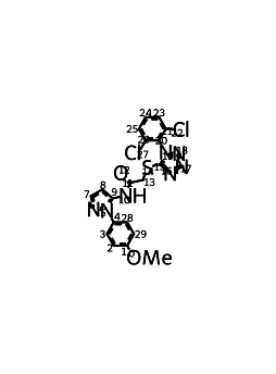 COc1ccc(-n2nccc2NC(=O)CSc2nnnn2-c2c(Cl)cccc2Cl)cc1